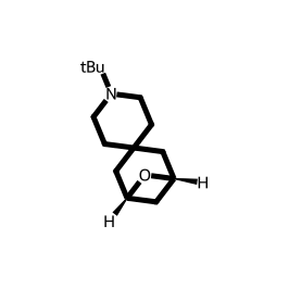 CC(C)(C)N1CCC2(CC1)C[C@H]1C[C@@H](C2)O1